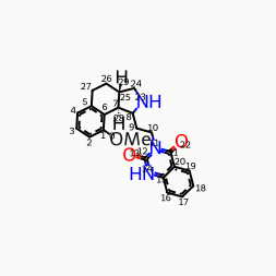 COc1cccc2c1[C@@H]1C(CCn3c(=O)[nH]c4ccccc4c3=O)NC[C@H]1CC2